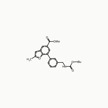 COC(=O)c1cc(-c2cccc(CNC(=O)OC(C)(C)C)c2)c2oc(C)cc2c1